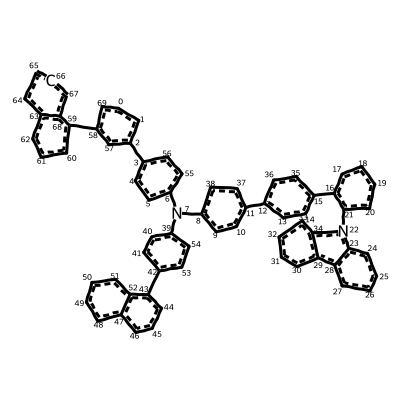 c1cc(-c2ccc(N(c3ccc(-c4ccc(-c5ccccc5-n5c6ccccc6c6ccccc65)cc4)cc3)c3ccc(-c4cccc5ccccc45)cc3)cc2)cc(-c2cccc3ccccc23)c1